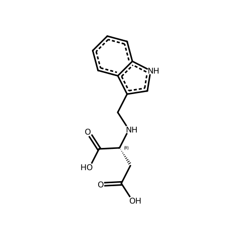 O=C(O)C[C@@H](NCc1c[nH]c2ccccc12)C(=O)O